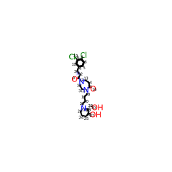 O=C(/C=C/c1ccc(Cl)c(Cl)c1)N1CCC(=O)N(CCCCN2CCC[C@@H](O)[C@H]2CO)CC1